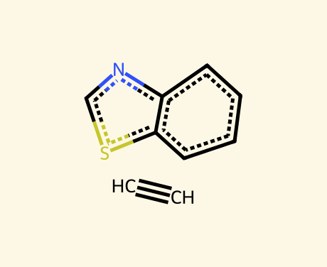 C#C.c1ccc2scnc2c1